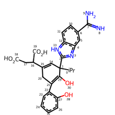 CC(C)C1(c2nc3cc(C(=N)N)ccc3[nH]2)C=C(C(CC(=O)O)C(=O)O)CC(c2ccccc2O)=C1O